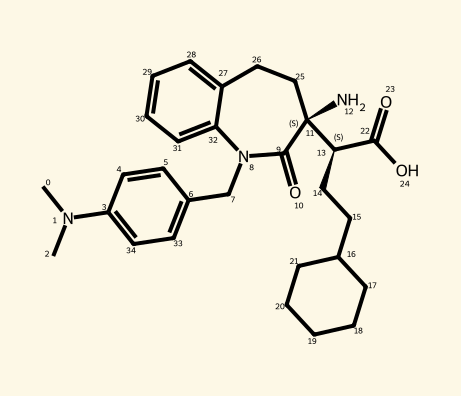 CN(C)c1ccc(CN2C(=O)[C@@](N)([C@H](CCC3CCCCC3)C(=O)O)CCc3ccccc32)cc1